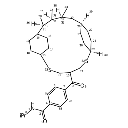 CC(C)NC(=O)c1ccc(C(=O)C2CSC3CCC(CC3)[C@@H](C)[C@@H](C)[C@@H](C)C[C@H]3CC[C@H](CC3)SC2)cc1